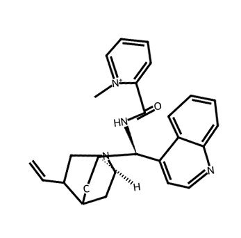 C=CC1CN2CCC1C[C@@H]2[C@@H](NC(=O)c1cccc[n+]1C)c1ccnc2ccccc12